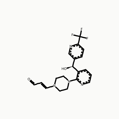 O=CC=CN1CCN(c2ncccc2[C@@H](O)c2ccc(C(F)(F)F)nc2)CC1